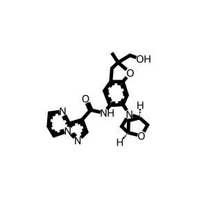 CC1(CO)Cc2cc(NC(=O)c3cnn4cccnc34)c(N3C[C@H]4C[C@@H]3CO4)cc2O1